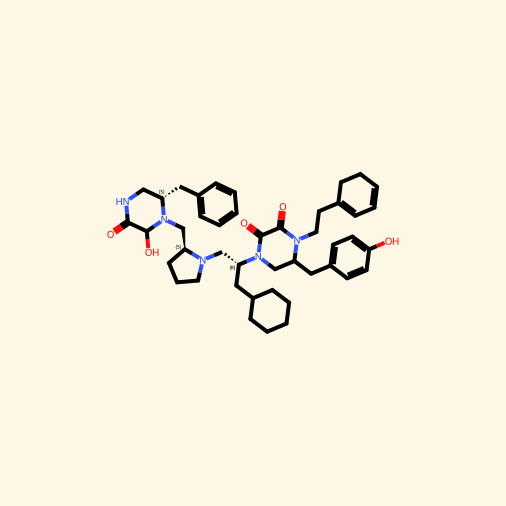 O=C1NC[C@H](Cc2ccccc2)N(C[C@@H]2CCCN2C[C@@H](CC2CCCCC2)N2CC(Cc3ccc(O)cc3)N(CCC3=CC=CCC3)C(=O)C2=O)C1O